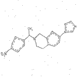 CC(c1ccc([N+](=O)[O-])cc1)N1CCc2ccc(-n3ccnc3)cc2C1